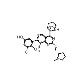 CN1CCC[C@H]1COc1nc(N2CC3CCC2CN3)c2cnc(-c3cc(O)cc(Cl)c3C(F)(F)F)c(F)c2n1